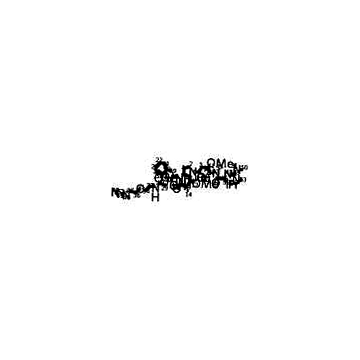 CC[C@H](C)[C@@H]([C@@H](CC(=O)N1CCCC1[C@H](OC)[C@@H](C)C(=O)N[C@@H](Cc1ccccc1)P(=O)(O)CC(=O)NCCOCCN=[N+]=[N-])OC)N(C)C(=O)C(N=C(N(C)C)N(C)C)C(C)C